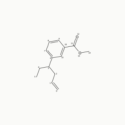 C=CCC(CC)c1cccc(C(=O)OC)c1